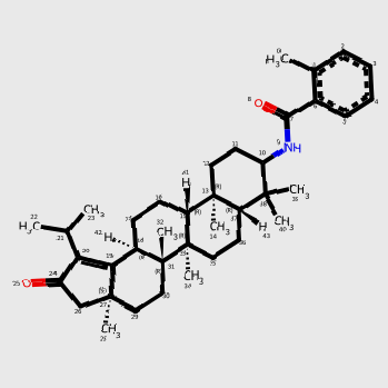 Cc1ccccc1C(=O)NC1CC[C@]2(C)[C@H]3CC[C@@H]4C5=C(C(C)C)C(=O)C[C@]5(C)CC[C@@]4(C)[C@]3(C)CC[C@H]2C1(C)C